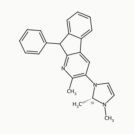 Cc1nc2c(cc1N1C=CN(C)[C@@H]1C)-c1ccccc1C2c1ccccc1